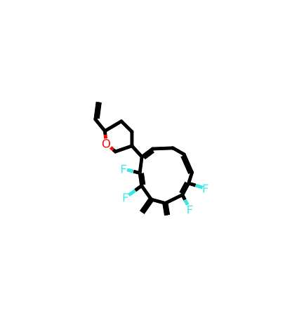 C=CC1CCC(C2=C/C/C=C\C(F)=C(\F)C(=C)C(=C)/C(F)=C\2F)CO1